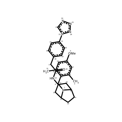 COc1cc(C)c(CN2C3CCC2CC(NC(=O)Cc2ccc(-n4cnnn4)cc2)C3)c(C)c1